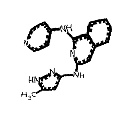 Cc1cc(Nc2cc3ccccc3c(Nc3ccncc3)n2)n[nH]1